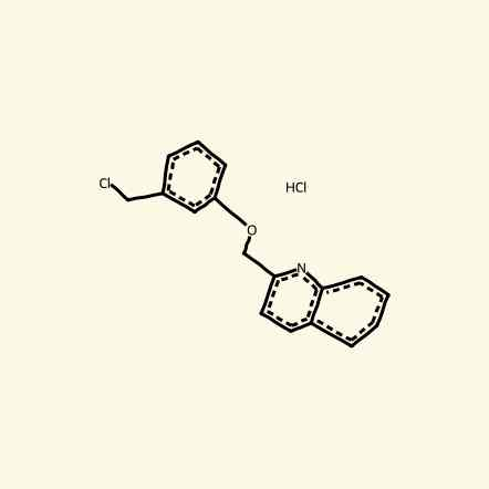 Cl.ClCc1cccc(OCc2ccc3ccccc3n2)c1